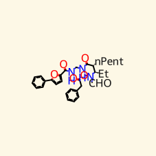 CCCCC[C@@H](C(=O)NCNC(=O)c1ccc(-c2ccccc2)o1)[C@@H](CC)N(C=O)OC(=O)Cc1ccccc1